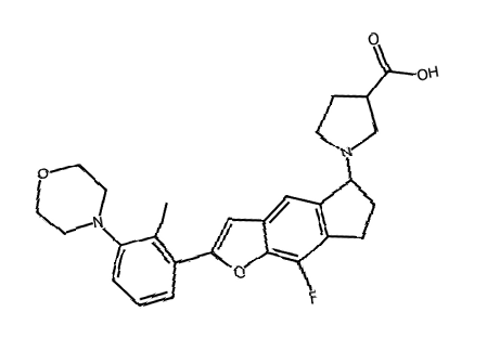 Cc1c(-c2cc3cc4c(c(F)c3o2)CCC4N2CCC(C(=O)O)C2)cccc1N1CCOCC1